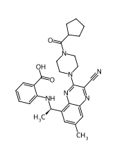 Cc1cc([C@@H](C)Nc2ccccc2C(=O)O)c2nc(N3CCN(C(=O)C4CCCC4)CC3)c(C#N)nc2c1